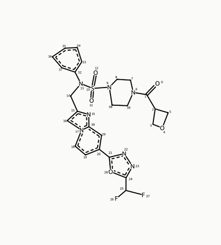 O=C(C1COC1)N1CCN(S(=O)(=O)N(Cc2cn3ccc(-c4nnc(C(F)F)o4)cc3n2)c2ccccc2)CC1